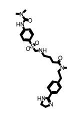 CN(C)C(=O)Nc1ccc(S(=O)(=O)CNCCCC(=O)N(C)CCc2ccc(C3=NCCN3)cc2)cc1